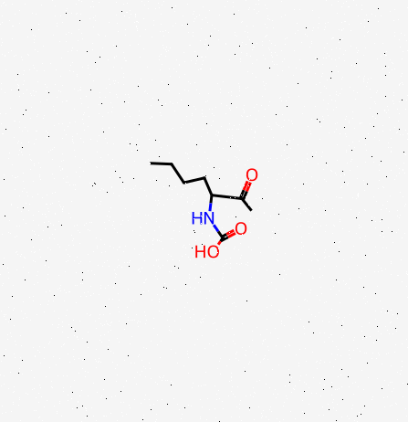 CCCCC(NC(=O)O)C(C)=O